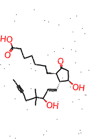 CC#CCC(C)(C)[C@H](O)C=C[C@H]1[C@H](O)CC(=O)[C@@H]1CCCCCCC(=O)O